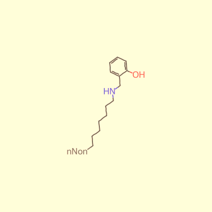 CCCCCCCCCCCCCCCCNCc1ccccc1O